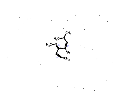 C\C=C/C(=N\C)C(=C\N(C)C)/C(C)C